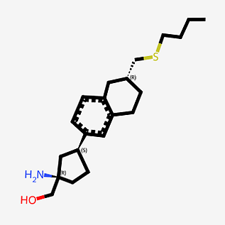 CCCCSC[C@@H]1CCc2cc([C@H]3CC[C@](N)(CO)C3)ccc2C1